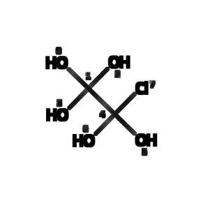 OC(O)(O)C(O)(O)Cl